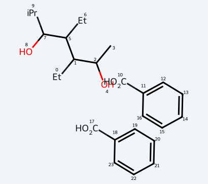 CCC(C(C)O)C(CC)C(O)C(C)C.O=C(O)c1ccccc1.O=C(O)c1ccccc1